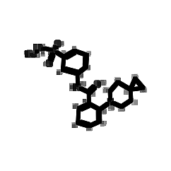 CC(C)(C)NS(=O)(=O)c1cccc(NC(=O)c2ccccc2N2CCC3(CC2)CC3)c1